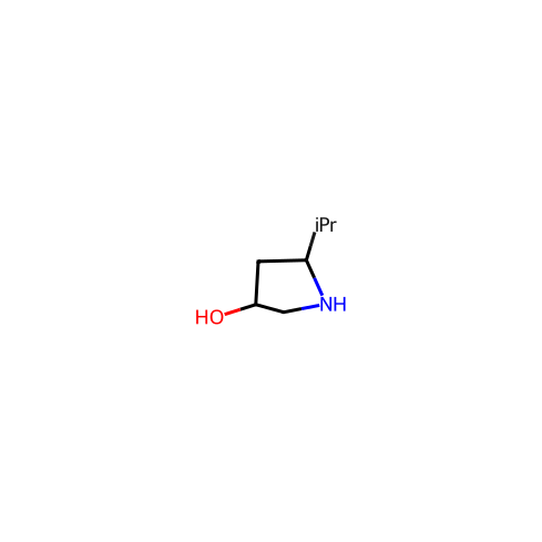 CC(C)C1CC(O)CN1